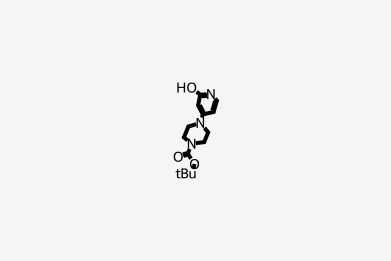 CC(C)(C)OC(=O)N1CCN(c2ccnc(O)c2)CC1